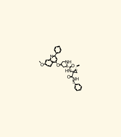 C=C[C@@H]1C[C@]1(NC(=O)[C@@H]1C[C@@H](Oc2cc(-c3ccccc3)nc3cc(OC)ccc23)CN1)C(=O)NSc1ccccc1